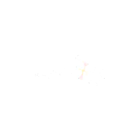 CCCCCCCP(=O)(OC)c1ccccc1